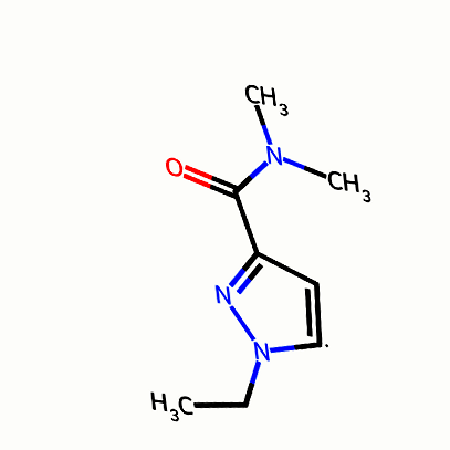 CCn1[c]cc(C(=O)N(C)C)n1